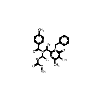 CCC(NC(=O)OC(C)(C)C)N(C(=O)c1ccc(C)cc1)C(c1nc(C)c(C#N)c(=O)n1Cc1ccccc1)C(C)C